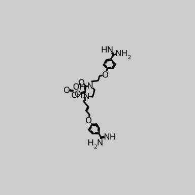 CC(=O)O.N=C(N)c1ccc(OC/C=C/CN2CCN(CCCOc3ccc(C(=N)N)cc3)C(=O)C2=O)cc1